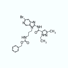 CCn1nc(C)cc1C(=O)Nc1nc2cc(Br)ncc2n1CCCNC(=O)OCc1ccccc1